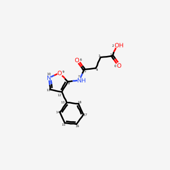 O=C(O)CCC(=O)Nc1oncc1-c1ccccc1